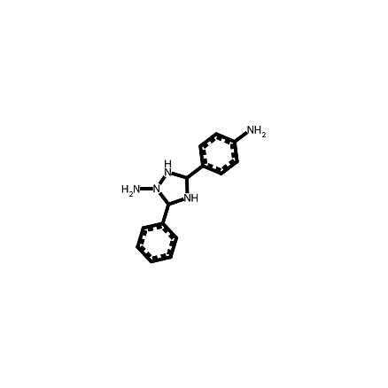 Nc1ccc(C2NC(c3ccccc3)N(N)N2)cc1